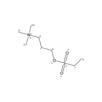 CCS(=O)(=O)OCCC[N+](C)(C)C